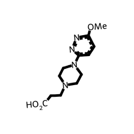 COc1ccc(N2CCN(CCC(=O)O)CC2)nn1